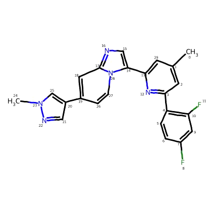 Cc1cc(-c2ccc(F)cc2F)nc(-c2cnc3cc(-c4cnn(C)c4)ccn23)c1